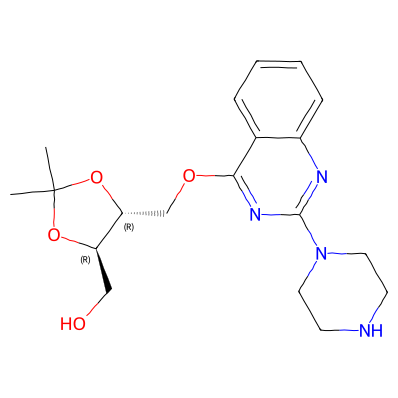 CC1(C)O[C@H](CO)[C@@H](COc2nc(N3CCNCC3)nc3ccccc23)O1